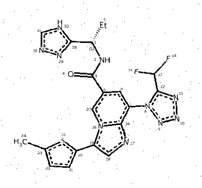 CC[C@H](NC(=O)c1cc(-n2nnnc2C(F)F)c2ncc(-c3ccc(C)s3)n2c1)c1nnc[nH]1